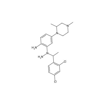 CC(c1ccc(Cl)cc1Cl)N(N)c1cc(N2CCN(C)CC2C)ccc1N